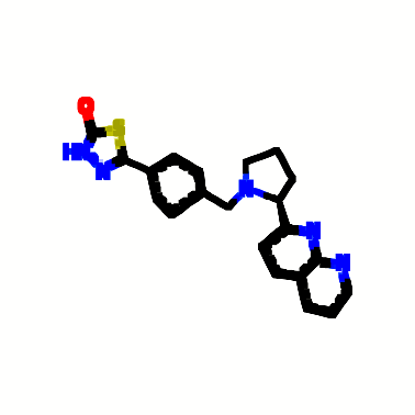 O=c1[nH]nc(-c2ccc(CN3CCC[C@H]3c3ccc4cccnc4n3)cc2)s1